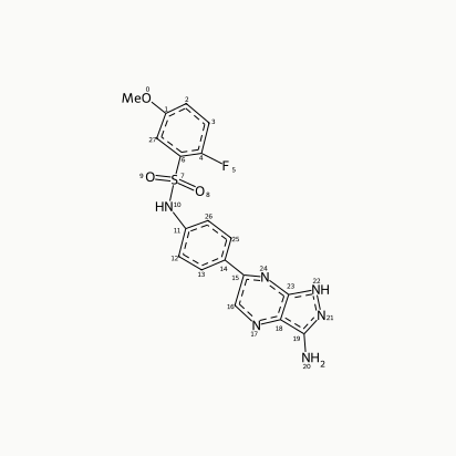 COc1ccc(F)c(S(=O)(=O)Nc2ccc(-c3cnc4c(N)n[nH]c4n3)cc2)c1